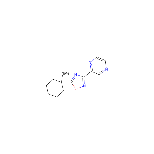 CNC1(c2nc(-c3cnccn3)no2)CCCCC1